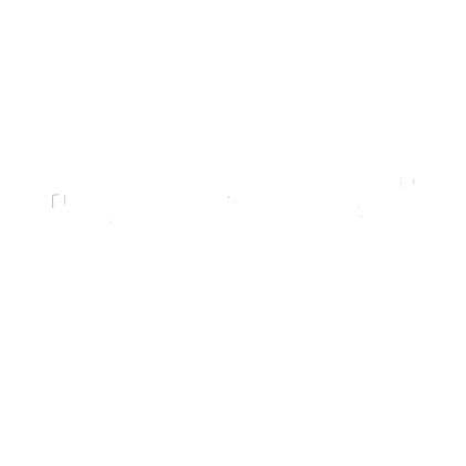 CCSCCSCCSCC